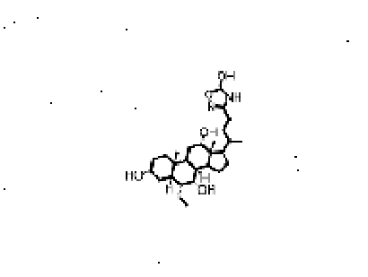 CC[C@H]1[C@@H](O)[C@H]2C3CC[C@H]([C@H](C)CCC4=NOC(O)N4)[C@@]3(C)[C@@H](O)CC2[C@@]2(C)CC[C@@H](O)C[C@@H]12